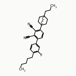 CCCCCc1ccc(-c2ccc(C34CCC(CCC)(CC3)CC4)c(C#N)c2C#N)cc1F